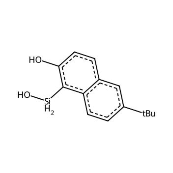 CC(C)(C)c1ccc2c([SiH2]O)c(O)ccc2c1